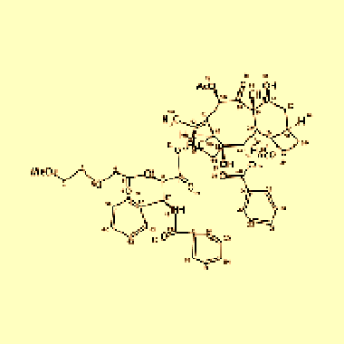 COCCOCC(=O)O[C@@H](C(=O)O[C@H]1C[C@@]2(O)[C@@H](OC(=O)c3ccccc3)[C@@H]3[C@]4(OC(C)=O)OC[C@@H]4C[C@H](O)[C@@]3(C)C(=O)[C@H](OC(C)=O)C(=C1C)C2(C)C)[C@@H](NC(=O)c1ccccc1)c1ccccc1